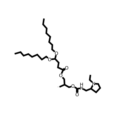 [CH2]C(COC(=O)CCC(OCCCCCCCC)OCCCCCCCC)COC(=O)NCC1CCCN1CC